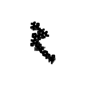 CCC(C)C(C(CC(=O)N1CCCC1C(OC)C(C)C(=O)NCC(=O)N[S+]([O-])Cc1ccc(CNC(=O)C(F)(F)F)cc1)OC)N(C)C(=O)CNC(=O)C(C(C)C)N(C)C